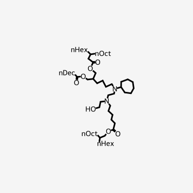 CCCCCCCCCCC(=O)OCC(CCCCN(CCN(CCO)CCCCCC(=O)OCC(CCCCCC)CCCCCCCC)C1CCCCCC1)COC(=O)CC(CCCCCC)CCCCCCCC